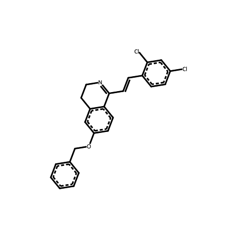 Clc1ccc(C=CC2=NCCc3cc(OCc4ccccc4)ccc32)c(Cl)c1